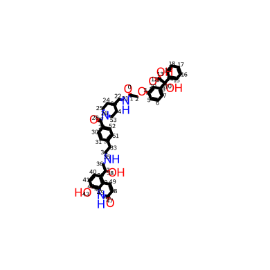 O=C(COc1cccc(C(O)(C(=O)O)c2ccccc2)c1)NCC1CCN(C(=O)c2ccc(CCNCC(O)c3ccc(O)c4[nH]c(=O)ccc34)cc2)CC1